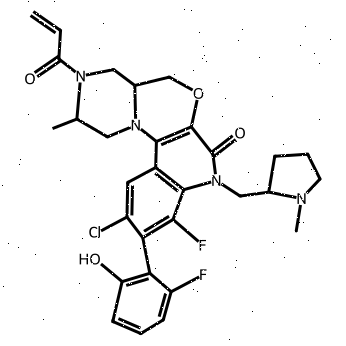 C=CC(=O)N1CC2COc3c(c4cc(Cl)c(-c5c(O)cccc5F)c(F)c4n(CC4CCCN4C)c3=O)N2CC1C